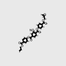 C=CCOC(=O)c1ccc(OC(=O)c2ccc(C(=O)Oc3ccc(C(=O)OCC4CO4)cc3)c([N+](=O)[O-])c2)cc1